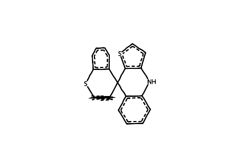 c1ccc2c(c1)Nc1ccsc1C21c2ccccc2Sc2ccccc21